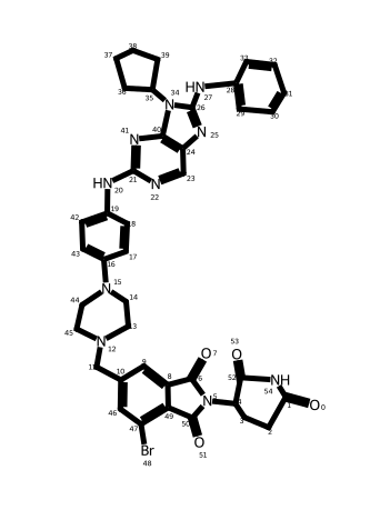 O=C1CCC(N2C(=O)c3cc(CN4CCN(c5ccc(Nc6ncc7nc(Nc8ccccc8)n(C8CCCC8)c7n6)cc5)CC4)cc(Br)c3C2=O)C(=O)N1